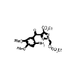 CCOC(=O)OCn1nc(C(=O)OCC)c(C(=O)c2cc(OC)c(OC)cc2N)n1